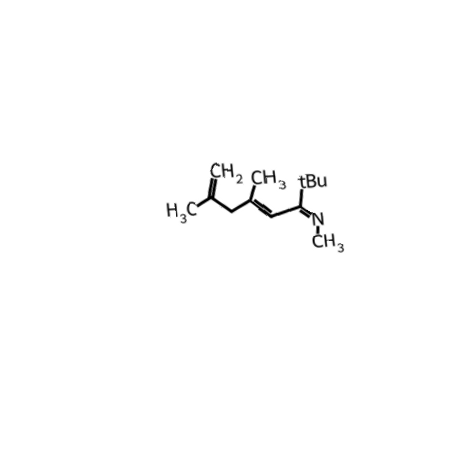 C=C(C)C/C(C)=C/C(=N\C)C(C)(C)C